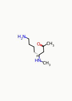 CN[C@H](CCCCN)CC(C)=O